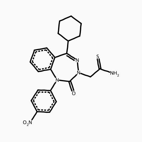 NC(=S)CN1N=C(C2CCCCC2)c2ccccc2N(c2ccc([N+](=O)[O-])cc2)C1=O